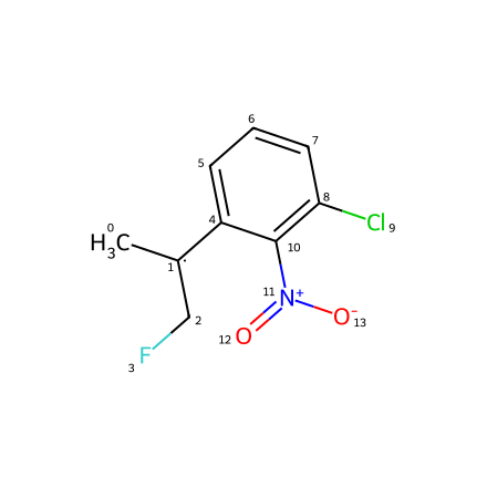 C[C](CF)c1cccc(Cl)c1[N+](=O)[O-]